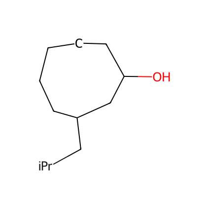 CC(C)CC1CCCCCC(O)C1